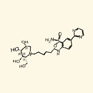 NS(=O)(=O)c1cc(-c2ncccn2)ccc1NCCCCCCN1C[C@H](O)[C@@H](O)[C@H](O)[C@H]1CO